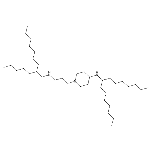 CCCCCCCC(CCCCC)CNCCCN1CCC(NC(CCCCCCC)CCCCCCC)CC1